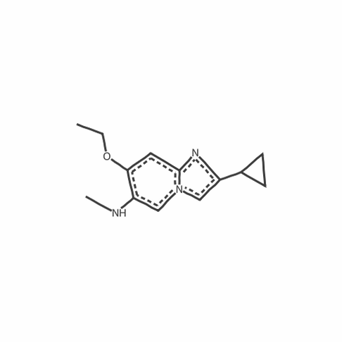 CCOc1cc2nc(C3CC3)cn2cc1NC